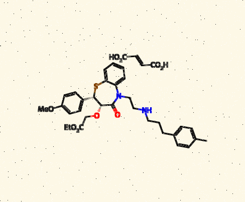 CCOC(=O)CO[C@H]1C(=O)N(CCNCCCc2ccc(C)cc2)c2ccccc2S[C@H]1c1ccc(OC)cc1.O=C(O)C=CC(=O)O